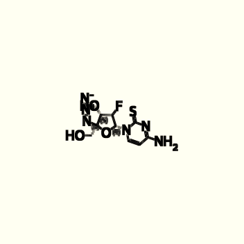 [N-]=[N+]=N[C@]1(CO)O[C@@H](n2ccc(N)nc2=S)C(F)[C@H]1O